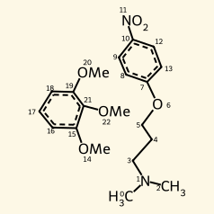 CN(C)CCCOc1ccc([N+](=O)[O-])cc1.COc1cccc(OC)c1OC